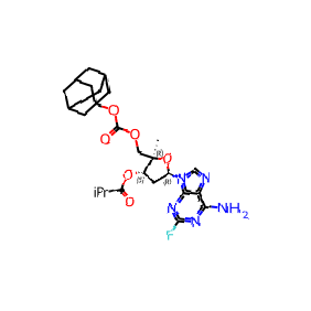 CC(C)C(=O)O[C@H]1C[C@H](n2cnc3c(N)nc(F)nc32)O[C@]1(C)COC(=O)OC12CC3CC(CC(C3)C1)C2